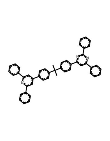 CC(C)(c1ccc(-c2cc(-c3ccccc3)nc(-c3ccccc3)c2)cc1)c1ccc(-c2cc(-c3ccccc3)nc(-c3ccccc3)n2)cc1